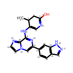 CC1CC(O)=NC=C1Nc1nc(-c2ccc3cn[nH]c3c2)cn2ccnc12